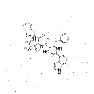 Cc1ccccc1CNC(=O)[C@H]1N(C(=O)[C@@H](O)[C@H](Cc2ccccc2)NC(=O)c2cccc3[nH]ncc23)CSC1(C)C